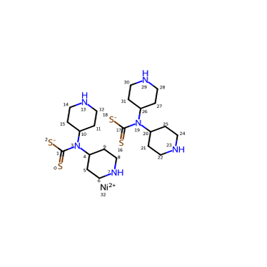 S=C([S-])N(C1CCNCC1)C1CCNCC1.S=C([S-])N(C1CCNCC1)C1CCNCC1.[Ni+2]